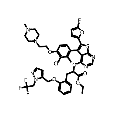 CCOC(=O)C(Cc1ccccc1OCc1ccnn1CC(F)(F)F)Oc1ncnc2sc(-c3ccc(F)o3)c(-c3ccc(OCCN4CCN(C)CC4)c(Cl)c3C)c12